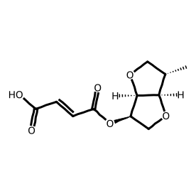 C[C@H]1CO[C@H]2[C@@H]1OC[C@H]2OC(=O)C=CC(=O)O